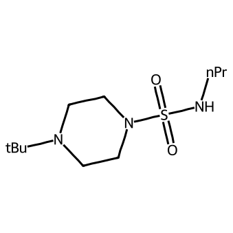 CCCNS(=O)(=O)N1CCN(C(C)(C)C)CC1